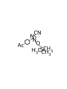 CC(=O)c1ccc(-c2nc(C#N)cn2COCC[Si](C)(C)C)cc1